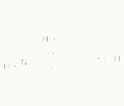 Cn1cc(C2OCC(C/C=C\CCC(=O)O)C(c3ccccc3O)O2)c2ccccc21